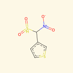 O=[N+]([O-])C(c1ccsc1)[SH](=O)=O